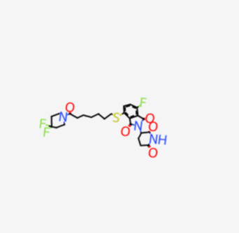 O=C1CCC(N2C(=O)c3c(F)ccc(SCCCCCCC(=O)N4CCC(F)(F)CC4)c3C2=O)C(=O)N1